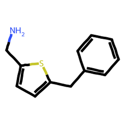 NCc1ccc(Cc2ccccc2)s1